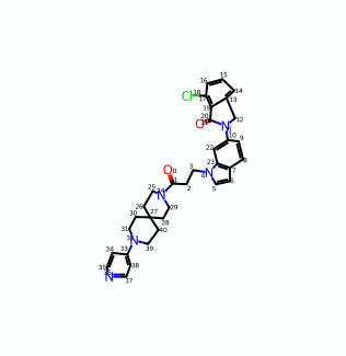 O=C(CCn1ccc2ccc(N3Cc4cccc(Cl)c4C3=O)cc21)N1CCC2(CC1)CCN(c1ccncc1)CC2